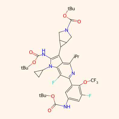 CC(C)c1nc(-c2cc(NC(=O)OC(C)(C)C)cc(F)c2OC(F)(F)F)c(F)c2c1c(C1C3CN(C(=O)OC(C)(C)C)CC31)c(NC(=O)OC(C)(C)C)n2C1CC1